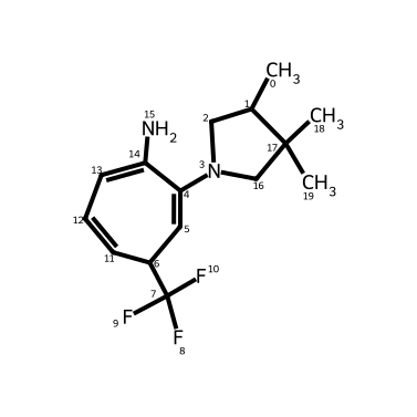 CC1CN(C2=CC(C(F)(F)F)C=CC=C2N)CC1(C)C